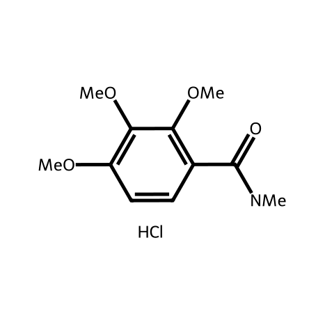 CNC(=O)c1ccc(OC)c(OC)c1OC.Cl